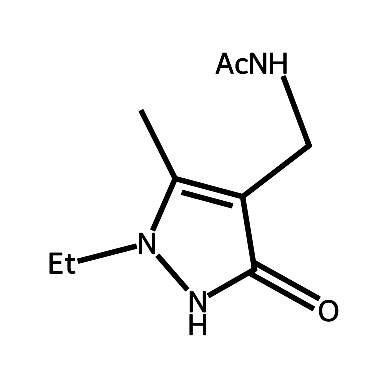 CCn1[nH]c(=O)c(CNC(C)=O)c1C